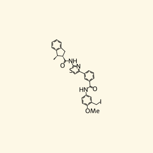 COc1ccc(NC(=O)c2cccc(-c3csc(NC(=O)[C@@H]4Cc5ccccc5[C@@H]4C)n3)c2)cc1CI